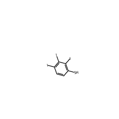 Sc1ccc(I)c(I)c1I